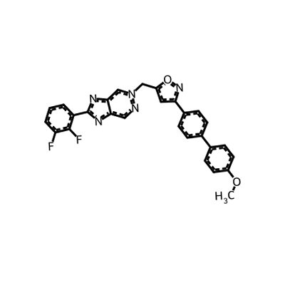 COc1ccc(-c2ccc(-c3cc(Cn4cc5nc(-c6cccc(F)c6F)nc-5cn4)on3)cc2)cc1